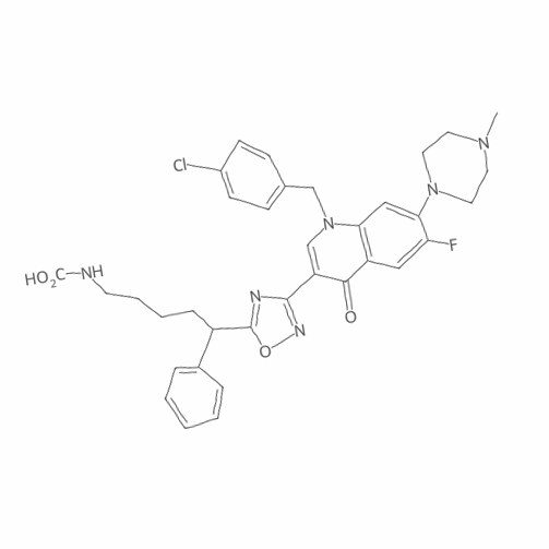 CN1CCN(c2cc3c(cc2F)c(=O)c(-c2noc(C(CCCCNC(=O)O)c4ccccc4)n2)cn3Cc2ccc(Cl)cc2)CC1